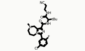 CN1CCCn2c(-c3cc(Cl)ccc3F)nc(C(=O)NC(C(=O)NCCC#N)C(C)(C)C)c2C1